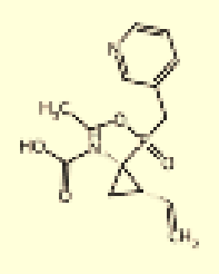 C=C[C@@H]1C[C@@]1(NC(=O)O)P(=O)(Cc1cccnc1)OCC